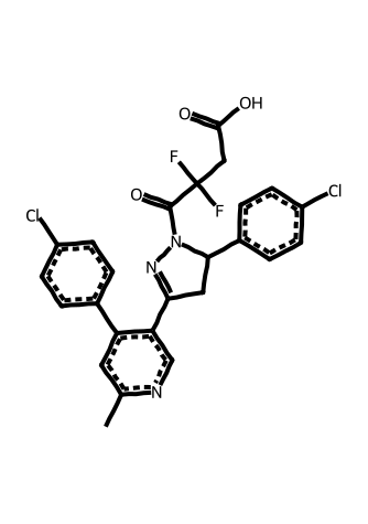 Cc1cc(-c2ccc(Cl)cc2)c(C2=NN(C(=O)C(F)(F)CC(=O)O)C(c3ccc(Cl)cc3)C2)cn1